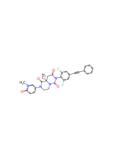 Cn1cc(N2CCN3C(=O)N(c4c(F)cc(C#Cc5ccccc5)cc4F)C(=O)CC3(C)C2=O)ccc1=O